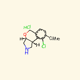 COc1ccc2c(c1Cl)[C@@H]1CNC[C@@H]1OC2.Cl